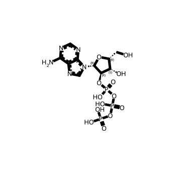 Nc1ncnc2c1ncn2[C@@H]1O[C@H](CO)[C@H](O)[C@H]1OP(=O)(O)OP(=O)(O)OP(=O)(O)O